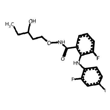 CCC(O)CCONC(=O)c1cccc(F)c1Nc1ccc(I)cc1F